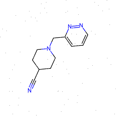 N#CC1CCN(Cc2cccnn2)CC1